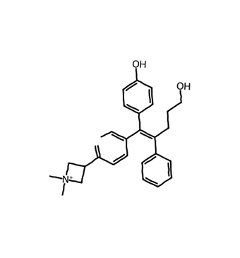 C=C(\C=C/C(=C\C)C(=C(/CCCO)c1ccccc1)/c1ccc(O)cc1)C1C[N+](C)(C)C1